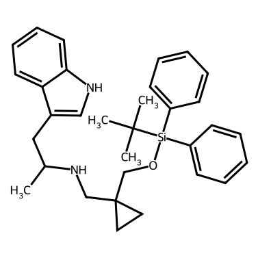 CC(Cc1c[nH]c2ccccc12)NCC1(CO[Si](c2ccccc2)(c2ccccc2)C(C)(C)C)CC1